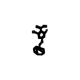 O=C(O)c1c(F)cc(OCC23CC4CC(CC(C4)C2)C3)cc1Cl